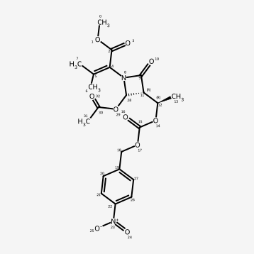 COC(=O)C(=C(C)C)N1C(=O)[C@H]([C@@H](C)OC(=O)OCc2ccc([N+](=O)[O-])cc2)C1OC(C)=O